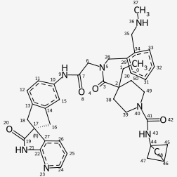 CCC1(C(=O)N(CC(=O)Nc2ccc3c(c2)C[C@@]2(C3)C(=O)Nc3ncccc32)Cc2ccccc2CNC)CCN(C(=O)NC23CC(C2)C3)CC1